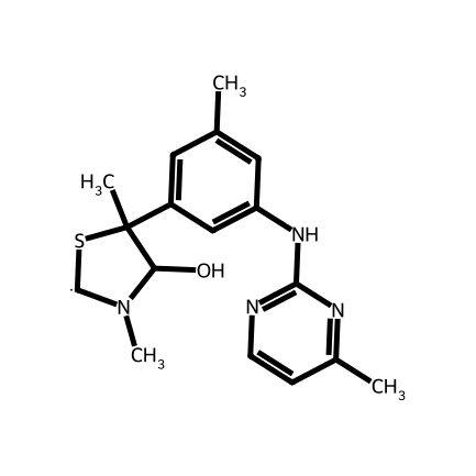 Cc1cc(Nc2nccc(C)n2)cc(C2(C)S[CH]N(C)C2O)c1